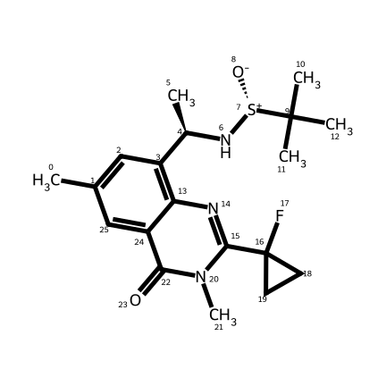 Cc1cc([C@@H](C)N[S@+]([O-])C(C)(C)C)c2nc(C3(F)CC3)n(C)c(=O)c2c1